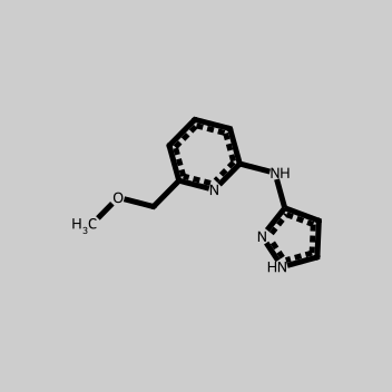 COCc1cccc(Nc2cc[nH]n2)n1